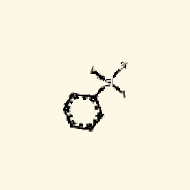 Br[Si](I)(I)c1ccccc1